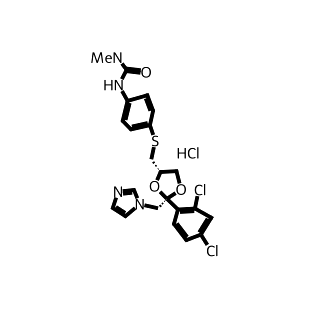 CNC(=O)Nc1ccc(SC[C@@H]2CO[C@@](Cn3ccnc3)(c3ccc(Cl)cc3Cl)O2)cc1.Cl